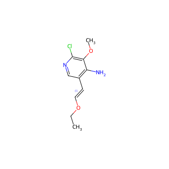 CCO/C=C/c1cnc(Cl)c(OC)c1N